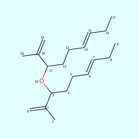 C=C(C)C(CCC=CCC)OC(CCC=CCC)C(=C)C